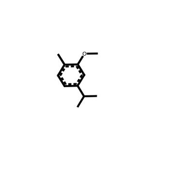 COc1cc(C(C)C)ccc1C